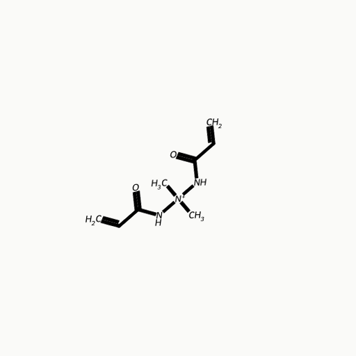 C=CC(=O)N[N+](C)(C)NC(=O)C=C